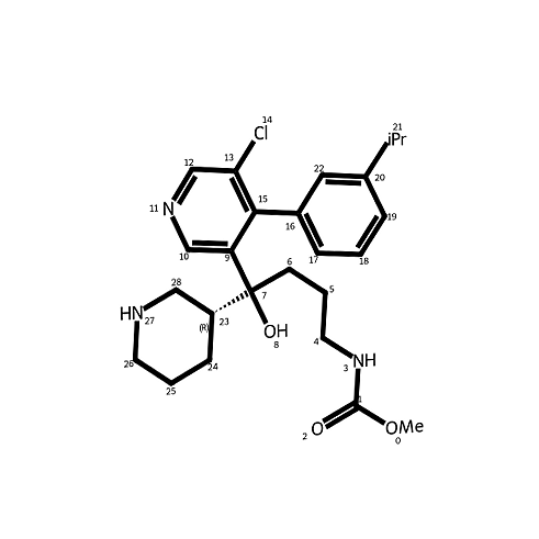 COC(=O)NCCCC(O)(c1cncc(Cl)c1-c1cccc(C(C)C)c1)[C@@H]1CCCNC1